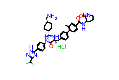 Cc1cc(C(=O)NC2CCCNC2=O)ccc1-c1ccc(C[C@H](NC(=O)[C@H]2CC[C@H](CN)CC2)C(=O)Nc2ccc(-c3nc(C(F)F)n[nH]3)cc2)cc1.Cl